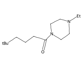 CCN1CCN(C(=O)CCCC(C)(C)C)CC1